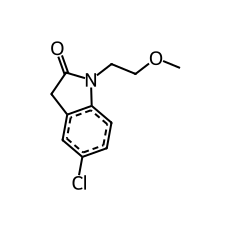 COCCN1C(=O)Cc2cc(Cl)ccc21